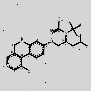 CC(C)C[C@@H](COc1ccc2c(c1)OCc1cncc(F)c1-2)N(C(=O)O)C(C)(C)C